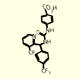 O=C(Nc1ccc(C(=O)O)cc1)NC(c1ccc(C(F)(F)F)cc1)c1ncccc1C(F)(F)F